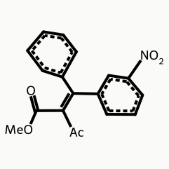 COC(=O)C(C(C)=O)=C(c1ccccc1)c1cccc([N+](=O)[O-])c1